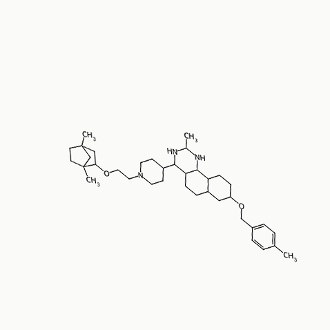 Cc1ccc(COC2CCC3C(CCC4C(C5CCN(CCOC6CC7(C)CCC6(C)C7)CC5)NC(C)NC34)C2)cc1